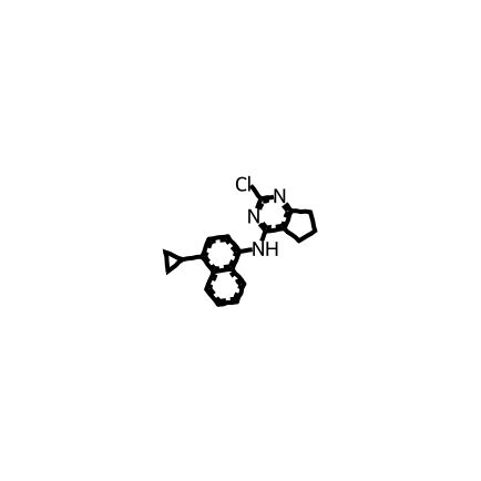 Clc1nc2c(c(Nc3ccc(C4CC4)c4ccccc34)n1)CCC2